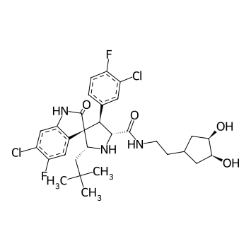 CC(C)(C)C[C@H]1N[C@@H](C(=O)NCCC2C[C@@H](O)[C@@H](O)C2)[C@H](c2ccc(F)c(Cl)c2)[C@@]12C(=O)Nc1cc(Cl)c(F)cc12